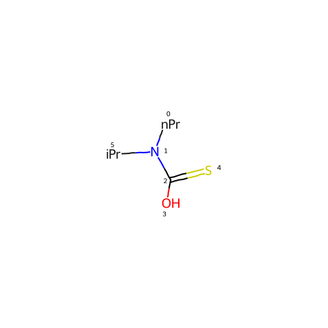 CCCN(C(O)=S)C(C)C